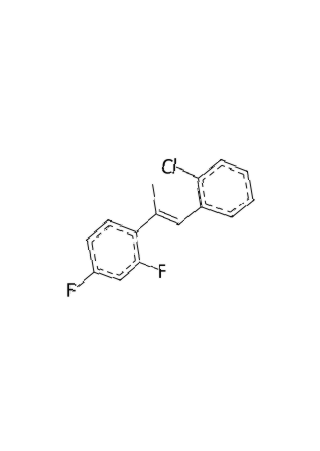 C/C(=C\c1ccccc1Cl)c1ccc(F)cc1F